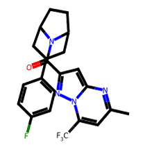 Cc1cc(C(F)(F)F)n2nc(C(=O)N3C4CCC3CC(c3ccc(F)cc3)C4)cc2n1